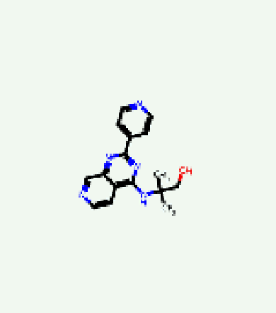 CC(CO)(Nc1nc(-c2ccncc2)nc2cnccc12)C(F)(F)F